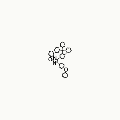 c1ccc(Oc2ccc(-c3nc4oc5ccccc5n4c3-c3ccc4c(c3)C(c3ccccc3)(c3ccccc3)c3ccccc3-4)cc2)cc1